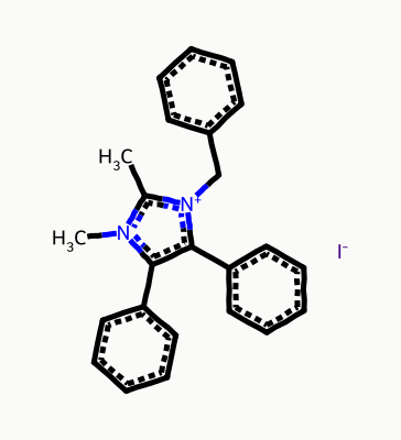 Cc1n(C)c(-c2ccccc2)c(-c2ccccc2)[n+]1Cc1ccccc1.[I-]